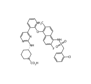 Cc1ccc2c(NS(=O)(=O)Cc3ccccc3Cl)c(F)ccc2c1Oc1ncccc1-c1ccnc(N[C@H]2CCCN(C(=O)O)C2)n1